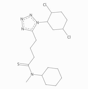 CN(C(=S)CCCc1nnnn1C1CC(Cl)CCC1Cl)C1CCCCC1